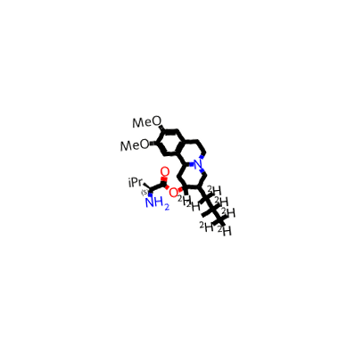 [2H]C1(OC(=O)[C@@H](N)C(C)C)CC2c3cc(OC)c(OC)cc3CCN2CC1C([2H])([2H])C([2H])(C)C([2H])([2H])[2H]